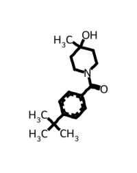 CC1(O)CCN(C(=O)c2ccc(C(C)(C)C)cc2)CC1